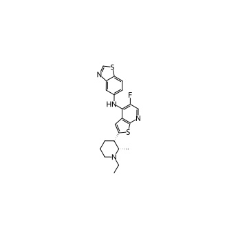 CCN1CCC[C@H](c2cc3c(Nc4ccc5scnc5c4)c(F)cnc3s2)[C@@H]1C